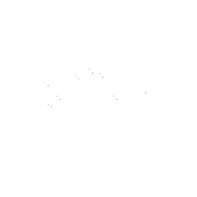 CCc1cc2c(s1)CCO[C@@]21CCN(Cc2cn(C(C)c3nnc4n3CCC4)nn2)[C@@H](C)C1